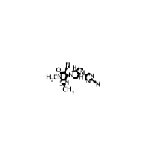 Cc1nc2c(N3CC[C@H]4[C@H](CCN4c4cnc(C#N)nc4)C3)c(C#N)c(=O)n(C)c2s1